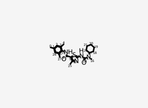 Cc1cc(C)c(NC(=O)c2sc(NC(=O)N(C)C3CCCCC3)nc2C)c(C)c1